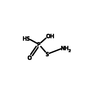 NSP(=O)(O)S